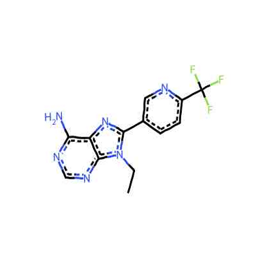 CCn1c(-c2ccc(C(F)(F)F)nc2)nc2c(N)ncnc21